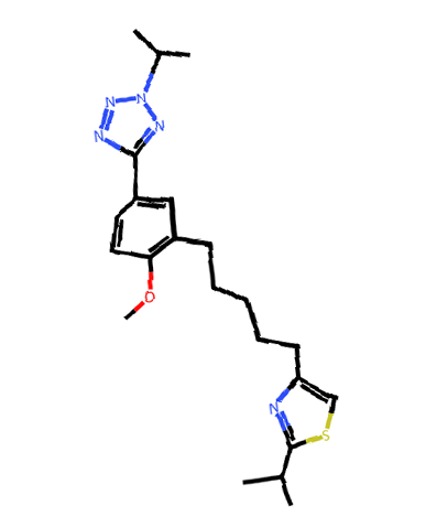 COc1ccc(-c2nnn(C(C)C)n2)cc1CCCCCc1csc(C(C)C)n1